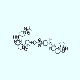 CC(C)S(=O)(=O)N1CCC(Nc2ncc3c(n2)N(C2CCC(N4CC(S(=O)(=O)N5CCC(Nc6ncc7c(n6)N(C6CCCC6(C)O)C(=O)CC7)CC5)C4)C2(C)O)C(=O)CC3)CC1